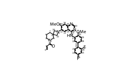 C=CC(=O)N1CCCC2(C1)CN(c1cc3c(Nc4cc(-c5ccc(F)cc5F)ccc4OC)ncnc3cc1OC)C2